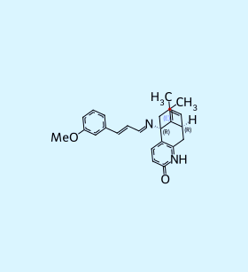 C/C=C1\[C@H]2C=C(C)C[C@]1(N=CC=Cc1cccc(OC)c1)c1ccc(=O)[nH]c1C2